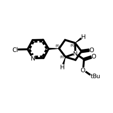 CC(C)(C)OC(=O)N1[C@@H]2C[C@H](c3ccc(Cl)nc3)[C@H]1CC2=O